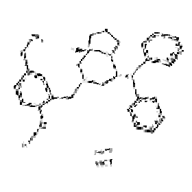 CC(C)Oc1ccc(OC(F)(F)F)cc1CN1C[C@@H]2CCCN2[C@H](C(c2ccccc2)c2ccccc2)C1.Cl.Cl